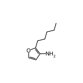 CCCCCc1occc1N